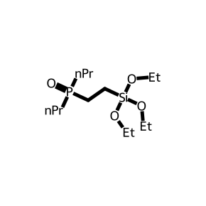 CCCP(=O)(CCC)CC[Si](OCC)(OCC)OCC